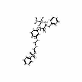 CN(C)S(=O)(=O)NC(Cc1ccccc1)C(=O)Nc1cccc(CCCC=CS(=O)(=O)c2ccccc2)c1